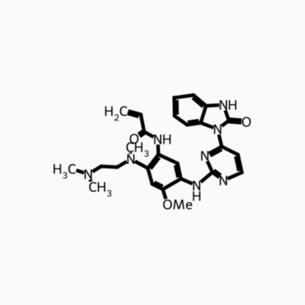 C=CC(=O)Nc1cc(Nc2nccc(-n3c(=O)[nH]c4ccccc43)n2)c(OC)cc1N(C)CCN(C)C